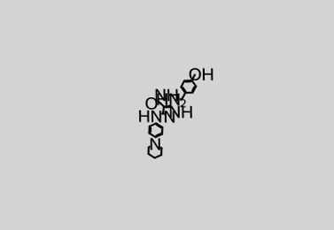 NC(=O)c1c(Nc2ccc(N3CCCCC3)cc2)n[nH]c1NCc1ccc(O)cc1